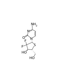 Nc1ccn([C@@H]2S[C@H](CO)[C@@H](O)C2(F)F)c(=O)n1